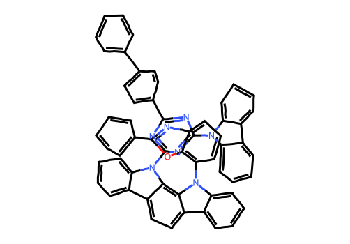 c1ccc(-c2ccc(-c3nc(-n4c5ccccc5c5ccccc54)nc(-n4c5ccccc5c5ccc6c7ccccc7n(-c7cccc8nc(-c9ccccc9)oc78)c6c54)n3)cc2)cc1